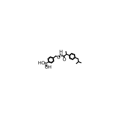 CC(C)Cc1ccc(C(C)C(=O)NOCc2ccc(B(O)O)cc2)cc1